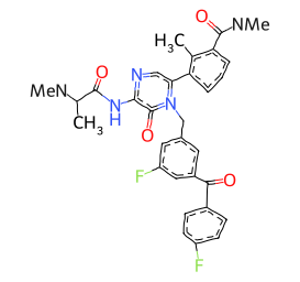 CNC(=O)c1cccc(-c2cnc(NC(=O)C(C)NC)c(=O)n2Cc2cc(F)cc(C(=O)c3ccc(F)cc3)c2)c1C